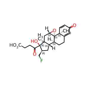 C[C@]12C=CC(=O)C=C1CC[C@H]1[C@@H]3C[C@@H](CF)[C@](O)(C(=O)CCC(=O)O)[C@@]3(C)C[C@@H]3O[C@@]312